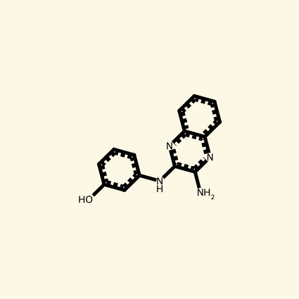 Nc1nc2ccccc2nc1Nc1cccc(O)c1